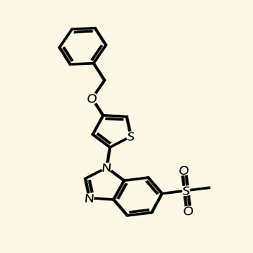 CS(=O)(=O)c1ccc2ncn(-c3cc(OCc4ccccc4)cs3)c2c1